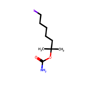 CC(C)(CCCCCI)OC(N)=O